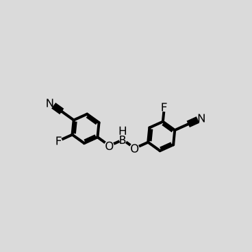 N#Cc1ccc(OBOc2ccc(C#N)c(F)c2)cc1F